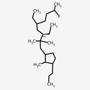 CCCC1CCC(CC(C)(C)[C@H](CC)CC(CC)CCC(C)F)C1C